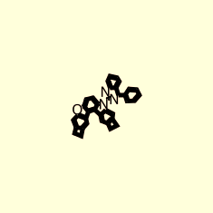 c1ccc(-c2nc(-n3c4cc5c(cc4c4c6c(ccc43)oc3cc4c(cc36)CC4)CC5)nc3ccccc23)cc1